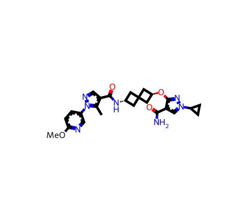 COc1ccc(-n2ncc(C(=O)N[C@H]3CC4(C3)C[C@H](Oc3nn(C5CC5)cc3C(N)=O)C4)c2C)cn1